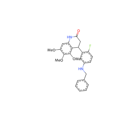 COc1cc2c(c(OC)c1OC)C(c1cc(NCc3ccccc3)ccc1F)CC(=O)N2